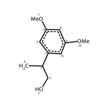 [CH2]C(CO)c1cc(OC)cc(OC)c1